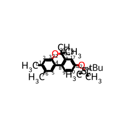 Cc1cc2c(cc1C)-c1ccc(O[Si](C)(C)C(C)(C)C)cc1C(C)(C)O2